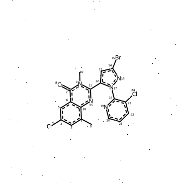 Cc1cc(Cl)cc2c(=O)n(C)c(-c3cc(Br)nn3-c3ncccc3Cl)nc12